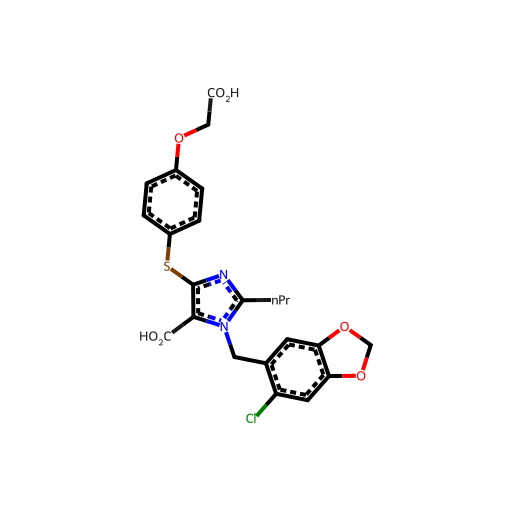 CCCc1nc(Sc2ccc(OCC(=O)O)cc2)c(C(=O)O)n1Cc1cc2c(cc1Cl)OCO2